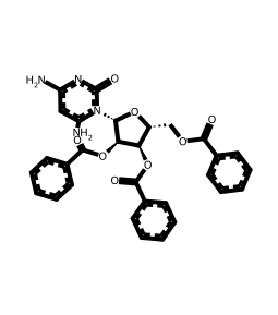 Nc1cc(N)n([C@@H]2O[C@H](COC(=O)c3ccccc3)[C@@H](OC(=O)c3ccccc3)[C@H]2OC(=O)c2ccccc2)c(=O)n1